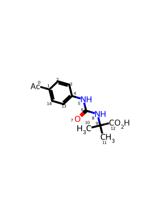 CC(=O)c1ccc(NC(=O)NC(C)(C)C(=O)O)cc1